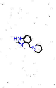 [c]1nc2c(CN3CCCCC3)cccc2[nH]1